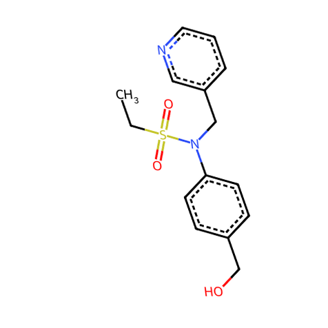 CCS(=O)(=O)N(Cc1cccnc1)c1ccc(CO)cc1